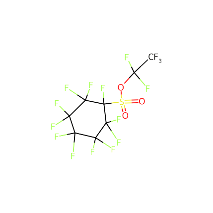 O=S(=O)(OC(F)(F)C(F)(F)F)C1(F)C(F)(F)C(F)(F)C(F)(F)C(F)(F)C1(F)F